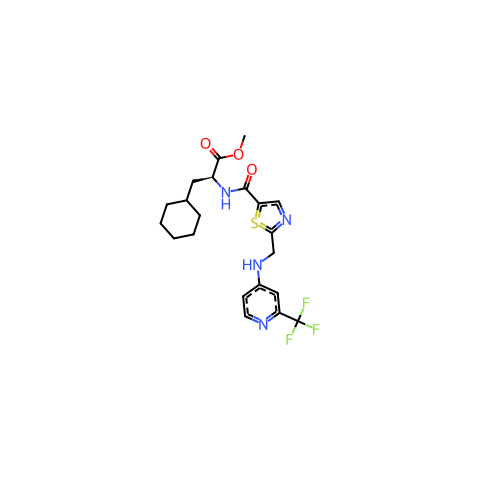 COC(=O)[C@H](CC1CCCCC1)NC(=O)c1cnc(CNc2ccnc(C(F)(F)F)c2)s1